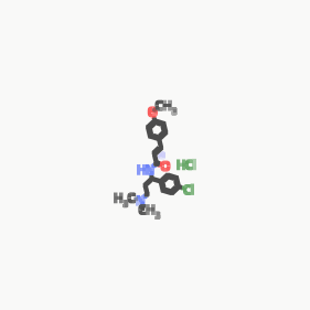 COc1ccc(/C=C/C(=O)NC(CCN(C)C)c2ccc(Cl)cc2)cc1.Cl